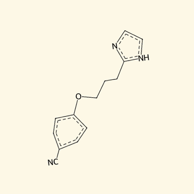 N#Cc1ccc(OCCCc2ncc[nH]2)cc1